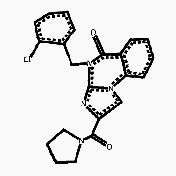 O=C(c1cn2c3ccccc3c(=O)n(Cc3ccccc3Cl)c2n1)N1CCCC1